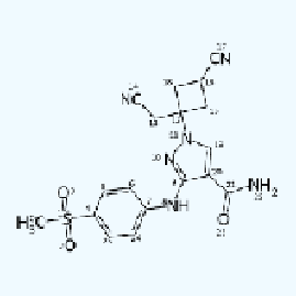 CS(=O)(=O)c1ccc(Nc2nn(C3(CC#N)CC(C#N)C3)cc2C(N)=O)cc1